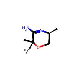 C[C@H]1CO[C@@](C)(C(F)(F)F)C(N)=N1